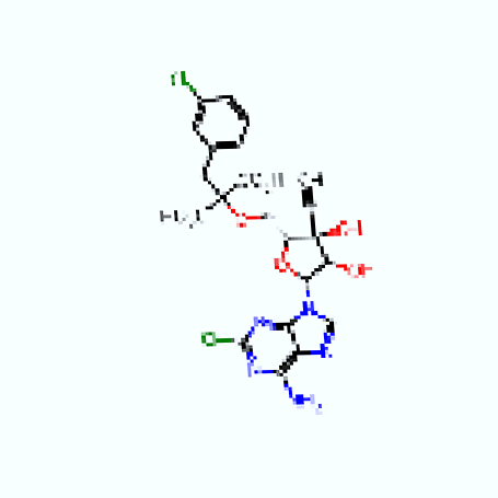 C#C[C@@]1(O)[C@@H](COC(Cc2cccc(Cl)c2)(C(=O)O)C(=O)O)O[C@@H](n2cnc3c(N)nc(Cl)nc32)[C@@H]1O